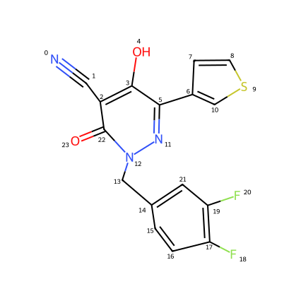 N#Cc1c(O)c(-c2ccsc2)nn(Cc2ccc(F)c(F)c2)c1=O